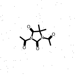 CC(=O)N1C(=O)N(C(C)=O)C(C)(C)C1=O